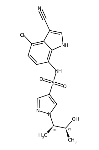 C[C@H](O)[C@@H](C)n1cc(S(=O)(=O)Nc2ccc(Cl)c3c(C#N)c[nH]c23)cn1